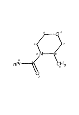 [CH2]CCC(=O)N1CCOCC1C